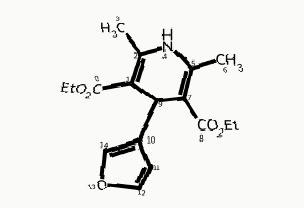 CCOC(=O)C1=C(C)NC(C)=C(C(=O)OCC)C1c1ccoc1